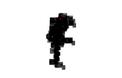 CNCCCNCC(=O)O[C@H]1[C@H](OC(C)=O)C[C@]23COC[C@@]1(C)[C@@H]2CC[C@H]1C3=CC[C@@]2(C)[C@H](C(=O)O)[C@@](C)([C@H](C)C(C)C)CC[C@]12C